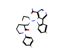 NC(=O)c1cncc2c3cc(F)ccc3n(N3CCC[C@]4(CCCN(c5ccc(F)cc5)C4=O)C3)c12